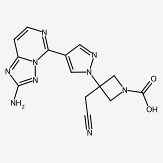 N#CCC1(n2cc(-c3nccc4nc(N)nn34)cn2)CN(C(=O)O)C1